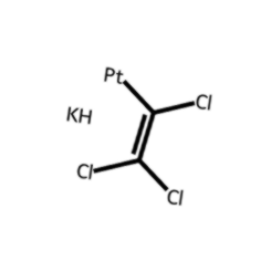 ClC(Cl)=[C](Cl)[Pt].[KH]